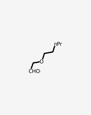 CCCCCOC[C]=O